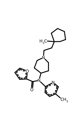 Cc1ccc(N(C(=O)c2ccco2)C2CCN(CCC3(C)CCCCC3)CC2)nc1